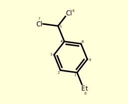 CCc1ccc(C(Cl)Cl)cc1